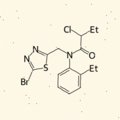 CCc1ccccc1N(Cc1nnc(Br)s1)C(=O)C(Cl)CC